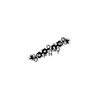 COc1nc(NC(=O)c2ccc(C3=CCN(C(=O)OC(C)(C)C)CC3)c(F)c2)ccc1C1=CCN(C(=O)OC(C)(C)C)CC1